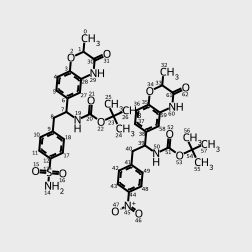 CC1Oc2ccc(C(Cc3ccc(S(N)(=O)=O)cc3)NC(=O)OC(C)(C)C)cc2NC1=O.CC1Oc2ccc(C(Cc3ccc([N+](=O)[O-])cc3)NC(=O)OC(C)(C)C)cc2NC1=O